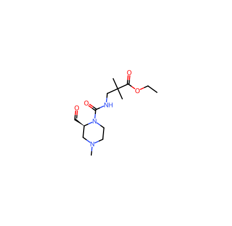 CCOC(=O)C(C)(C)CNC(=O)N1CCN(C)C[C@H]1C=O